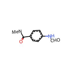 CNC(=O)c1ccc(NC=O)cc1